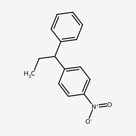 CCC(c1ccccc1)c1ccc([N+](=O)[O-])cc1